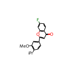 COc1cc(-c2cc(=O)c3ccc(F)cc3o2)ccc1C(C)C